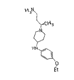 CCOc1ccc(NC2CCN([C@H](C)CCN)CC2)cc1